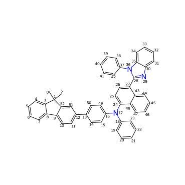 CC1(C)c2ccccc2-c2ccc(-c3ccc(N(c4ccccc4)c4ccc(-c5nc6ccccc6n5-c5ccccc5)c5ccccc45)cc3)cc21